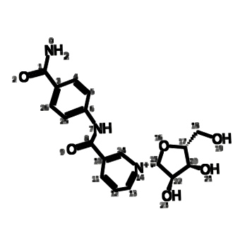 NC(=O)c1ccc(NC(=O)c2ccc[n+]([C@@H]3O[C@H](CO)[C@@H](O)[C@H]3O)c2)cc1